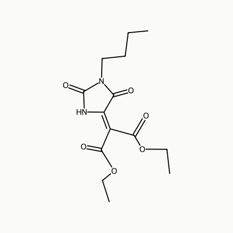 CCCCN1C(=O)NC(=C(C(=O)OCC)C(=O)OCC)C1=O